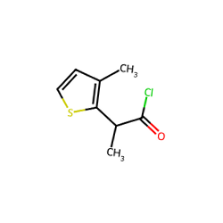 Cc1ccsc1C(C)C(=O)Cl